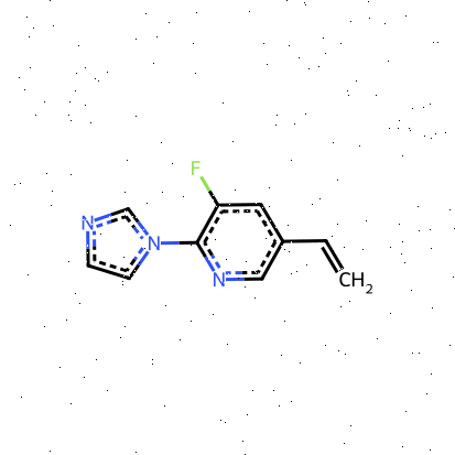 C=Cc1cnc(-n2ccnc2)c(F)c1